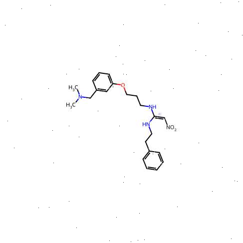 CN(C)Cc1cccc(OCCCN/C(=C/[N+](=O)[O-])NCCc2ccccc2)c1